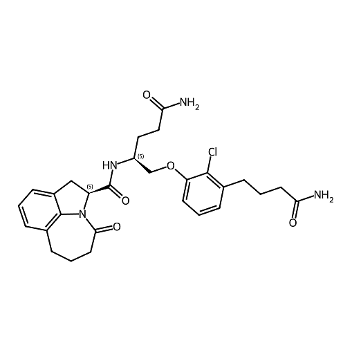 NC(=O)CCCc1cccc(OC[C@H](CCC(N)=O)NC(=O)[C@@H]2Cc3cccc4c3N2C(=O)CCC4)c1Cl